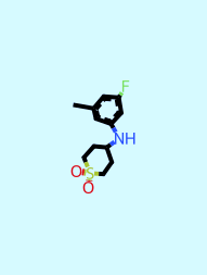 Cc1cc(F)cc(NC2CCS(=O)(=O)CC2)c1